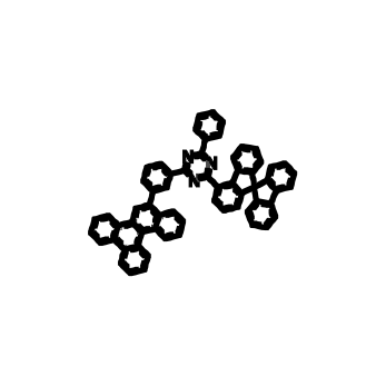 c1ccc(-c2nc(-c3cccc(-c4cc5c6ccccc6c6ccccc6c5c5ccccc45)c3)nc(-c3cccc4c3-c3ccccc3C43c4ccccc4-c4ccccc43)n2)cc1